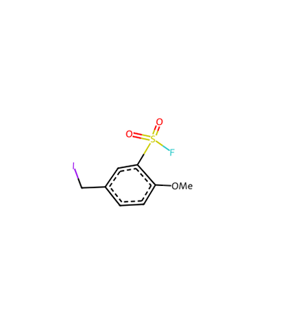 COc1ccc(CI)cc1S(=O)(=O)F